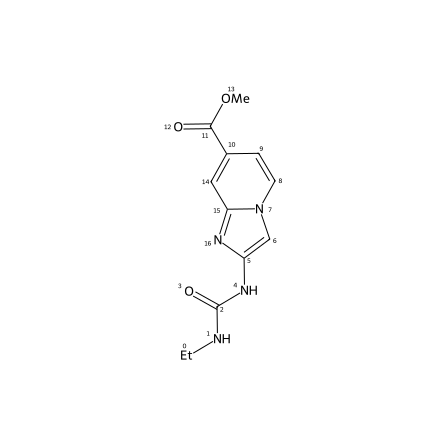 CCNC(=O)Nc1cn2ccc(C(=O)OC)cc2n1